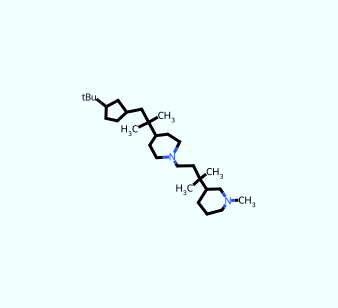 CN1CCCC(C(C)(C)CCN2CCC(C(C)(C)CC3CCC(C(C)(C)C)C3)CC2)C1